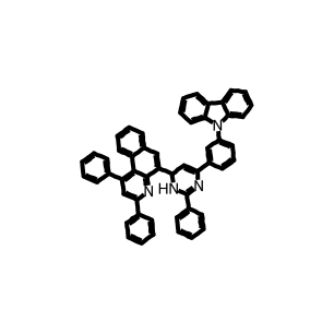 C1=C(c2cccc(-n3c4ccccc4c4ccccc43)c2)N=C(c2ccccc2)NC1c1cc2ccccc2c2c(-c3ccccc3)cc(-c3ccccc3)nc12